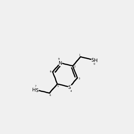 SCC1=CSC(CS)C=N1